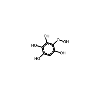 OOc1c(O)cc(O)c(O)c1O